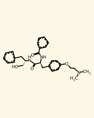 CN(C)CCOc1ccc(C[C@H](NC(=O)c2ccccc2)C(=O)N[C@H](CO)Cc2ccccc2)cc1